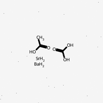 CC(=O)O.O=C(O)O.[BaH2].[SrH2]